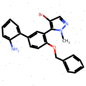 Cn1ncc(Br)c1-c1cc(-c2ccccc2N)ccc1OCc1ccccc1